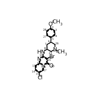 COc1ccc(C2CC(Nc3nc4ccc(Cl)cn4c(=O)c3Br)CN(C)C2)cc1